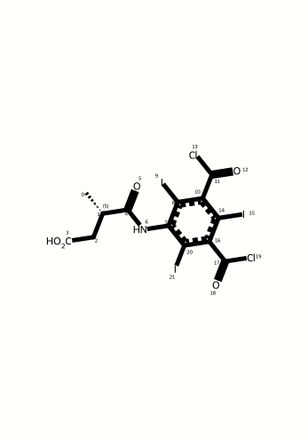 C[C@@H](CC(=O)O)C(=O)Nc1c(I)c(C(=O)Cl)c(I)c(C(=O)Cl)c1I